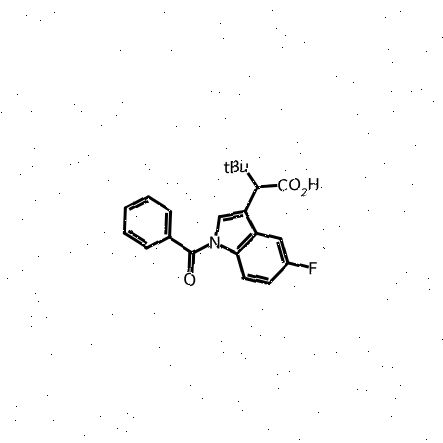 CC(C)(C)C(C(=O)O)c1cn(C(=O)c2ccccc2)c2ccc(F)cc12